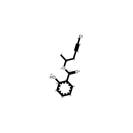 CCC#CCC(C)OC(=O)c1ccccc1O